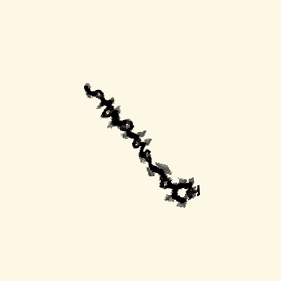 CCOCCOCCOCCOCCOCCOC1CCNCC1